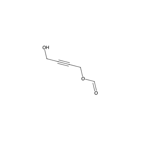 O=COCC#CCO